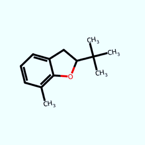 Cc1cccc2c1OC(C(C)(C)C)C2